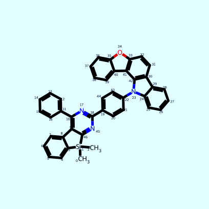 C[Si]1(C)c2ccccc2-c2c(-c3ccccc3)nc(-c3ccc(-n4c5ccccc5c5ccc6oc7ccccc7c6c54)cc3)nc21